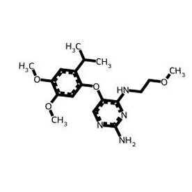 COCCNc1nc(N)ncc1Oc1cc(OC)c(OC)cc1C(C)C